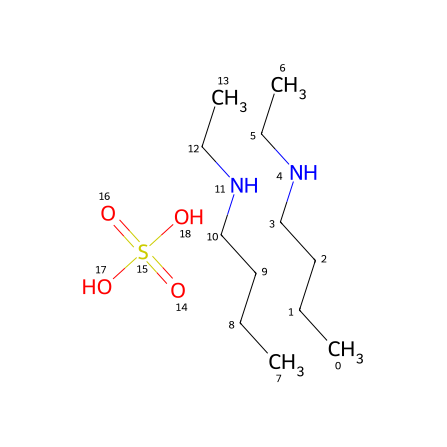 CCCCNCC.CCCCNCC.O=S(=O)(O)O